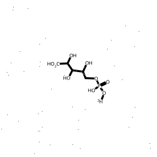 [2H]OP(=O)(O)OCC(O)C(O)C(O)C(=O)O